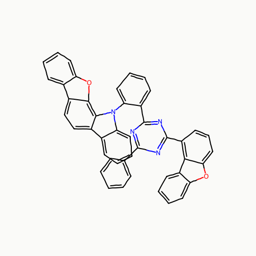 c1ccc(-c2nc(-c3ccccc3-n3c4ccccc4c4ccc5c6ccccc6oc5c43)nc(-c3cccc4oc5ccccc5c34)n2)cc1